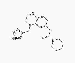 O=C(Cc1ccc2c(c1)N(Cc1c[nH]cn1)CCO2)N1CCCCC1